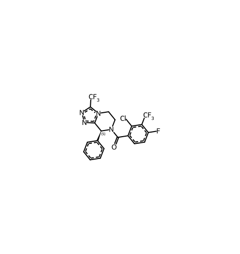 O=C(c1ccc(F)c(C(F)(F)F)c1Cl)N1CCn2c(nnc2C(F)(F)F)[C@@H]1c1ccccc1